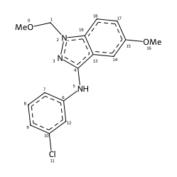 COCn1nc(Nc2cccc(Cl)c2)c2cc(OC)ccc21